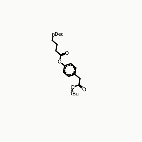 CCCCCCCCCCCCCC(=O)Oc1ccc(CC(=O)OC(C)(C)C)cc1